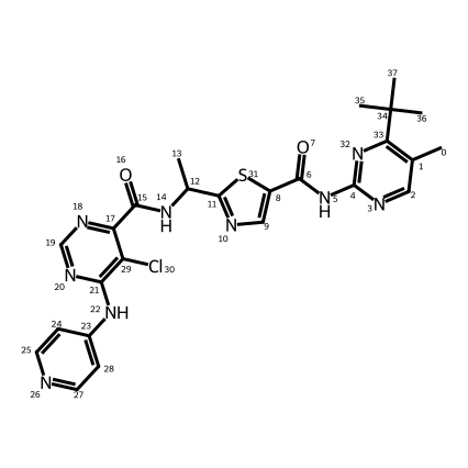 Cc1cnc(NC(=O)c2cnc(C(C)NC(=O)c3ncnc(Nc4ccncc4)c3Cl)s2)nc1C(C)(C)C